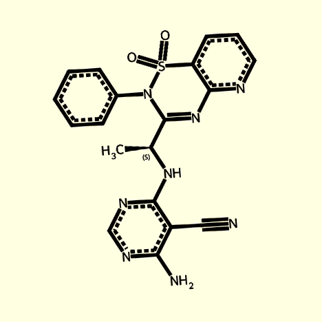 C[C@H](Nc1ncnc(N)c1C#N)C1=Nc2ncccc2S(=O)(=O)N1c1ccccc1